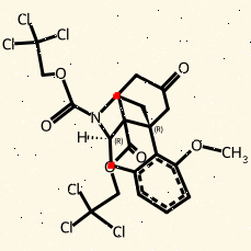 COc1cccc2c1[C@]13CCN(C(=O)OCC(Cl)(Cl)Cl)[C@H](C2)C1(C(=O)OCC(Cl)(Cl)Cl)CCC(=O)C3